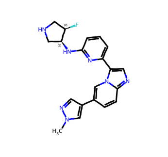 Cn1cc(-c2ccc3ncc(-c4cccc(N[C@H]5CNC[C@H]5F)n4)n3c2)cn1